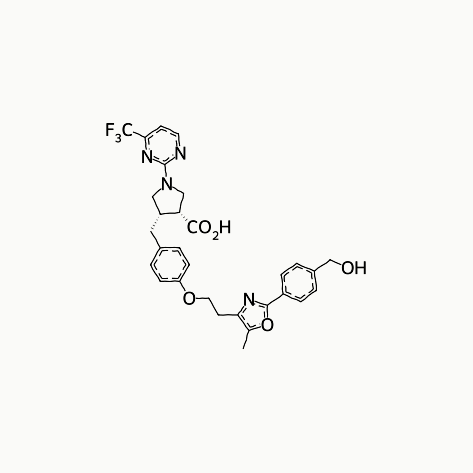 Cc1oc(-c2ccc(CO)cc2)nc1CCOc1ccc(C[C@@H]2CN(c3nccc(C(F)(F)F)n3)C[C@@H]2C(=O)O)cc1